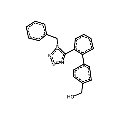 OCc1ccc(-c2ccccc2-c2nnnn2Cc2ccccc2)cc1